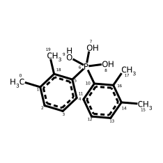 Cc1cccc(P(O)(O)(O)c2cccc(C)c2C)c1C